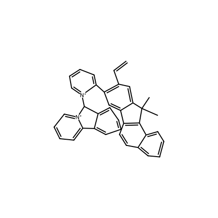 C=Cc1cc2c(cc1-c1cccc[n+]1C1c3ccccc3-c3cccc[n+]31)-c1ccc3ccccc3c1C2(C)C